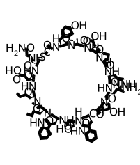 CCCC[C@H]1C(=O)N(C)[C@@H](CCCC)C(=O)N[C@@H](CCC(=O)O)C(=O)N[C@H](C(=O)NCC(N)=O)CSCC(=O)N[C@@H](Cc2ccc(O)cc2)C(=O)N(C)[C@@H](C)C(=O)N[C@@H](CC(=O)O)C(=O)N2CCC[C@H]2C(=O)N[C@@H](Cc2c[nH]cn2)C(=O)N[C@@H](CCCN)C(=O)N2C[C@H](O)C[C@H]2C(=O)C[C@@H](Cc2c[nH]c3ccccc23)C(=O)N[C@@H](CO)C(=O)N[C@@H](Cc2c[nH]c3ccccc23)C(=O)N1C